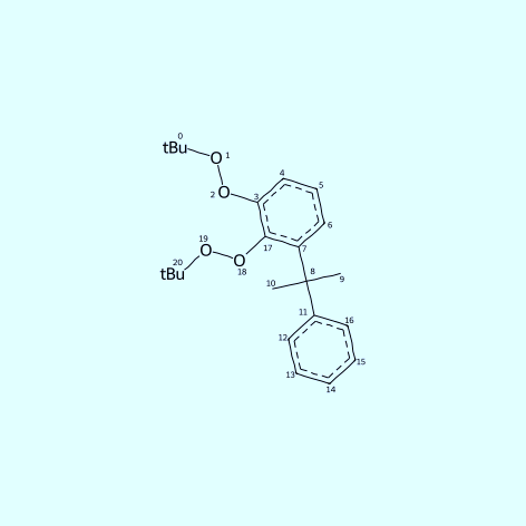 CC(C)(C)OOc1cccc(C(C)(C)c2ccccc2)c1OOC(C)(C)C